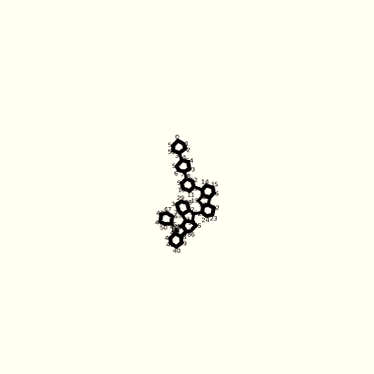 c1ccc(-c2ccc(-c3cccc(-c4cccc5c4Cc4c-5cccc4C4c5ccccc5-c5c4ccc4c6ccccc6n(-c6ccccc6)c54)c3)cc2)cc1